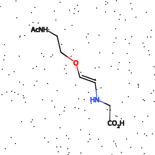 CC(=O)NCCOC=CNCC(=O)O